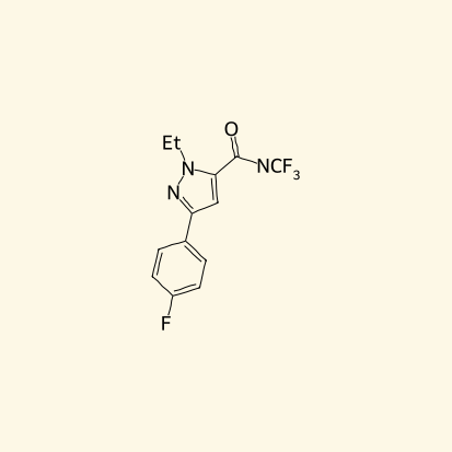 CCn1nc(-c2ccc(F)cc2)cc1C(=O)NC(F)(F)F